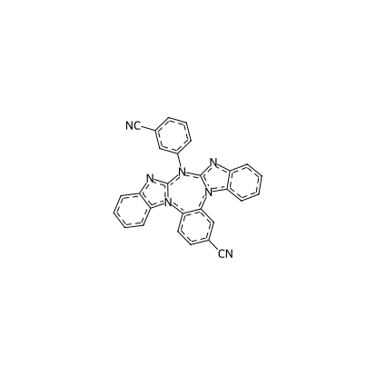 N#Cc1cccc(-n2c3nc4ccccc4n3c3ccc(C#N)cc3n3c4ccccc4nc23)c1